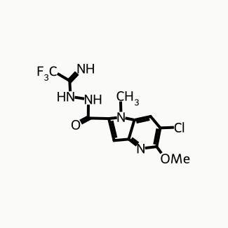 COc1nc2cc(C(=O)NNC(=N)C(F)(F)F)n(C)c2cc1Cl